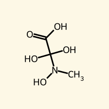 CN(O)C(O)(O)C(=O)O